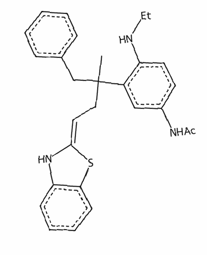 CCNc1ccc(NC(C)=O)cc1C(C)(C/C=C1/Nc2ccccc2S1)Cc1ccccc1